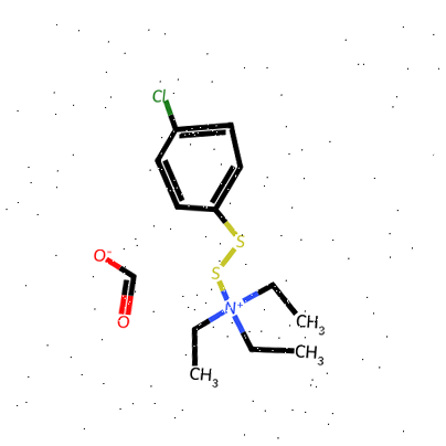 CC[N+](CC)(CC)SSc1ccc(Cl)cc1.O=C[O-]